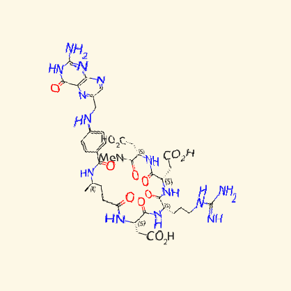 CNC(=O)[C@H](CC(=O)O)NC(=O)[C@H](CC(=O)O)NC(=O)[C@H](CCCNC(=N)N)NC(=O)[C@H](CC(=O)O)NC(=O)CC[C@@H](C)NC(=O)c1ccc(NCc2cnc3nc(N)[nH]c(=O)c3n2)cc1